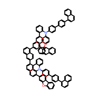 c1cc(-c2ccc(-c3cccc4cc(-c5ccccc5-c5ccccc5N(c5ccc(-c6ccc(-c7cccc8ccccc78)cc6)cc5)c5ccccc5-c5ccc6c(c5)oc5ccccc56)ccc34)cc2-c2ccc3ccccc3c2)cc(N(c2ccc(-c3ccc(-c4cccc5ccccc45)cc3)cc2)c2ccccc2-c2ccc3c(c2)oc2ccccc23)c1